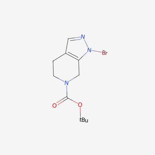 CC(C)(C)OC(=O)N1CCc2cnn(Br)c2C1